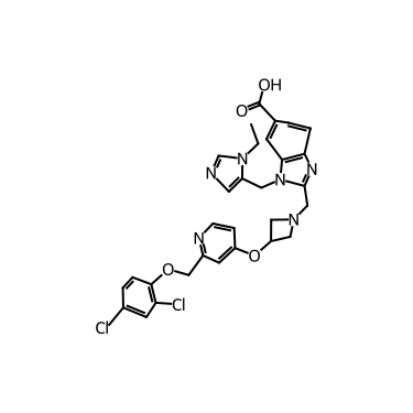 CCn1cncc1Cn1c(CN2CC(Oc3ccnc(COc4ccc(Cl)cc4Cl)c3)C2)nc2ccc(C(=O)O)cc21